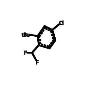 CC(C)(C)c1cc(Cl)ccc1C(F)F